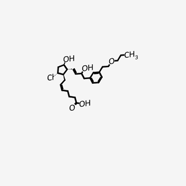 CCCOCCc1cccc(CC(O)/C=C/[C@@H]2[C@@H](C/C=C\CCCC(=O)O)[C@H](Cl)C[C@H]2O)c1